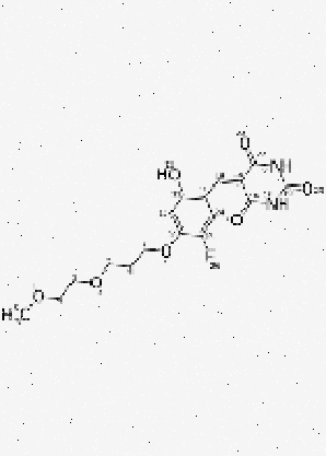 COCCOCCCOc1cc(O)c(C=C2C(=O)NC(=O)NC2=O)cc1F